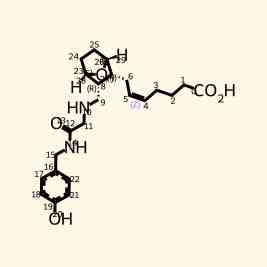 O=C(O)CCC/C=C\C[C@@H]1[C@H](CNCC(=O)NCc2ccc(O)cc2)[C@@H]2CC[C@H]1O2